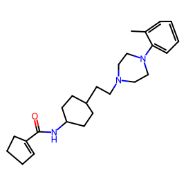 Cc1ccccc1N1CCN(CCC2CCC(NC(=O)C3=CCCC3)CC2)CC1